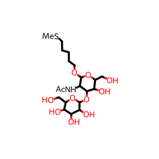 CSCCCCCOC1OC(CO)C(O)C(OC2OC(CO)C(O)C(O)C2O)C1NC(C)=O